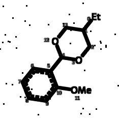 CCC1COC(c2ccccc2OC)OC1